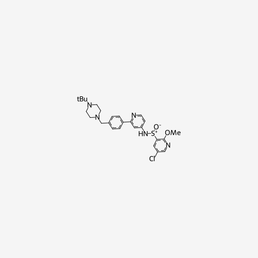 COc1ncc(Cl)cc1[S+]([O-])Nc1ccnc(-c2ccc(CN3CCN(C(C)(C)C)CC3)cc2)c1